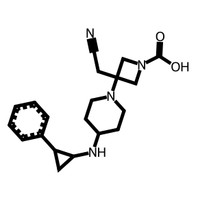 N#CCC1(N2CCC(NC3CC3c3ccccc3)CC2)CN(C(=O)O)C1